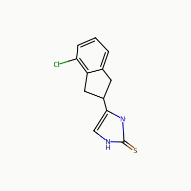 S=C1[N]C(C2Cc3cccc(Cl)c3C2)=CN1